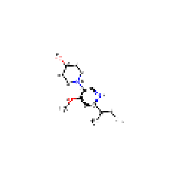 CCC(C)c1cc(OC)c(N2CCC(O)CC2)cn1